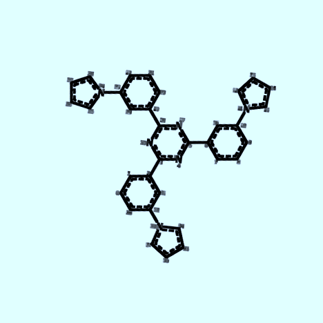 c1cc(-c2nc(-c3cccc(-n4cccc4)c3)nc(-c3cccc(-n4cccc4)c3)n2)cc(-n2cccc2)c1